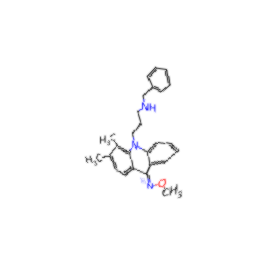 CO/N=c1\c2ccccc2n(CCCNCc2ccccc2)c2c(C)c(C)ccc12